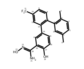 Cc1ccc(C)c(-c2ccc(C(F)(F)F)cc2-c2ccc(O)c(C(N)=NO)c2)c1